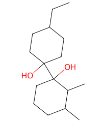 CCC1CCC(O)(C2(O)CCCC(C)C2C)CC1